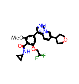 COc1cc(/C(C=N)=C2\C=CC(C3CCOCC3)=CN2C)cc(OCC(F)F)c1C(=O)NC1CC1